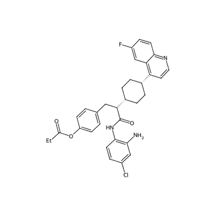 CCC(=O)Oc1ccc(CC(C(=O)Nc2ccc(Cl)cc2N)[C@H]2CC[C@@H](c3ccnc4ccc(F)cc43)CC2)cc1